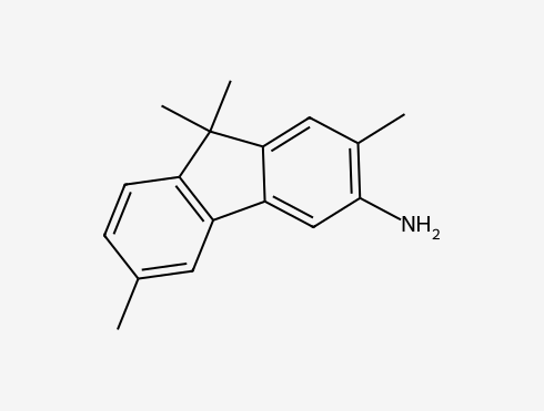 Cc1ccc2c(c1)-c1cc(N)c(C)cc1C2(C)C